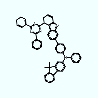 CC1(C)c2ccccc2-c2ccc(N(c3ccccc3)c3ccc(-c4ccc5c6c(oc5c4)C=CCC6c4nc(C5=CCCC=C5)nc(-c5ccccc5)n4)cc3)cc21